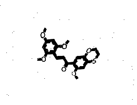 COc1cc(OC)c(C=CC(=O)c2cc3c(cc2OC)SCCO3)c(OC)c1